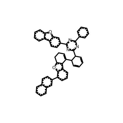 C1=CC(C2=CCCc3oc4c(-c5ccc6ccccc6c5)cccc4c32)C(c2nc(-c3ccccc3)nc(-c3ccc4c(c3)oc3ccccc34)n2)C=C1